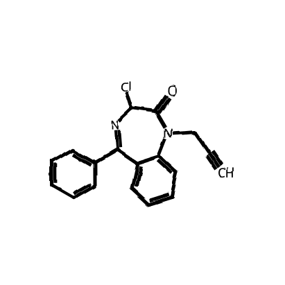 C#CCN1C(=O)C(Cl)N=C(c2ccccc2)c2ccccc21